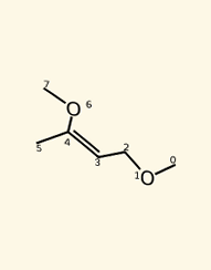 COCC=C(C)OC